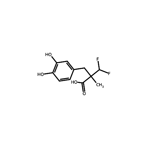 CC(Cc1ccc(O)c(O)c1)(C(=O)O)C(F)F